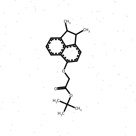 CC1c2cccc3c(OCC(=O)OC(C)(C)C)ccc(c23)C1C